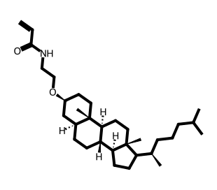 C=CC(=O)NCCO[C@H]1CC[C@@]2(C)[C@@H](CC[C@@H]3[C@@H]2CC[C@]2(C)C([C@H](C)CCCC(C)C)CC[C@@H]32)C1